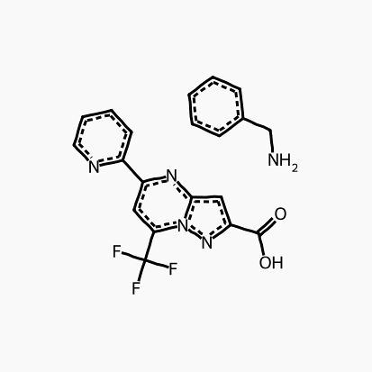 NCc1ccccc1.O=C(O)c1cc2nc(-c3ccccn3)cc(C(F)(F)F)n2n1